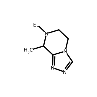 CCN1CCn2cnnc2C1C